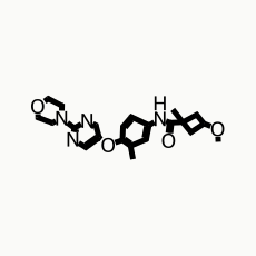 COC1CC(C)(C(=O)Nc2ccc(Oc3cnc(N4CCOCC4)nc3)c(C)c2)C1